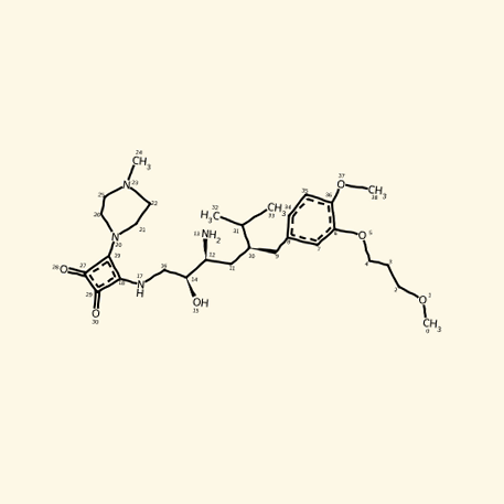 COCCCOc1cc(C[C@@H](C[C@H](N)[C@@H](O)CNc2c(N3CCN(C)CC3)c(=O)c2=O)C(C)C)ccc1OC